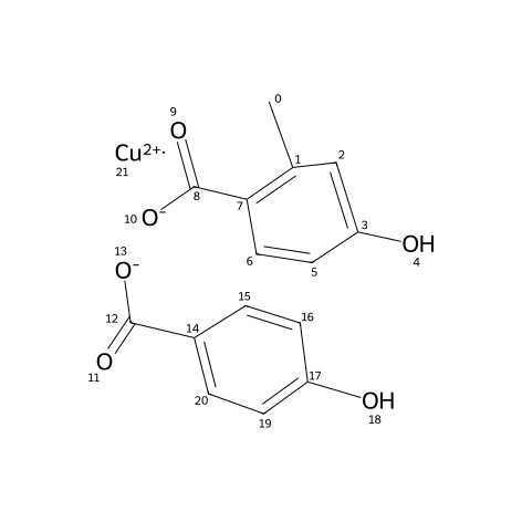 Cc1cc(O)ccc1C(=O)[O-].O=C([O-])c1ccc(O)cc1.[Cu+2]